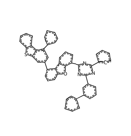 c1ccc(-c2cccc(-c3nc(-c4ccccc4)nc(-c4cccc5c4oc4cccc(-c6cc(-c7ccccc7)c7c(c6)sc6ccccc67)c45)n3)c2)cc1